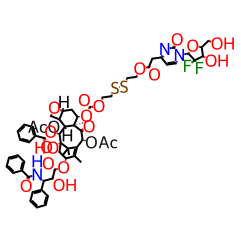 CC(=O)O[C@H]1C(=O)[C@]2(C)[C@@H](OC(=O)OCCSSCCOC(=O)Cc3ccn(C4OC(CO)C(O)C4(F)F)c(=O)n3)C[C@H]3OCC3(OC(C)=O)[C@H]2[C@H](OC(=O)c2ccccc2)[C@]2(O)C[C@H](OC(=O)[C@H](O)[C@@H](NC(=O)c3ccccc3)c3ccccc3)C(C)=C1C2(C)C